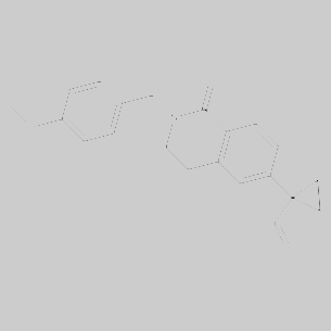 COc1ccc(CN2CCc3cc(C4(C=O)CC4)ccc3C2=O)cc1